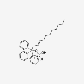 CCCCCCCCC=CCP(OP(=O)(O)O)(c1ccccc1)(c1ccccc1)c1ccccc1